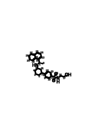 C[C@@H](NC1CCCC(c2ccc(S(=O)(=O)NCCO)cc2)C1)c1cccc2ccccc12